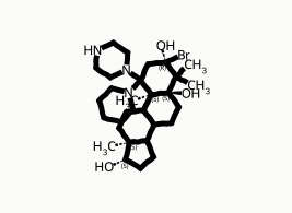 CC1(C)[C@]2(O)CCC3C4CC[C@H](O)[C@@]4(C)CCC3[C@@]2(C)C(N2CCCCC2)(N2CCNCC2)C[C@@]1(O)Br